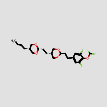 CCCC[C@H]1CO[C@H](CC[C@H]2CO[C@H](CCc3cc(F)c(OC(F)F)c(F)c3)OC2)OC1